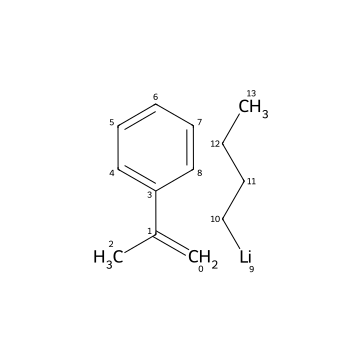 C=C(C)c1ccccc1.[Li][CH2]CCC